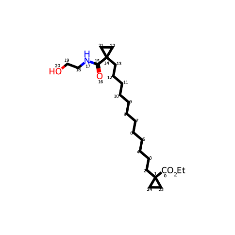 CCOC(=O)C1(CCCCCCCCCCCCC2(C(=O)NCCO)CC2)CC1